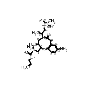 C=CCOC(=O)N(C)CC1Oc2ccc(N)cc2CC(=O)N(C(C)CO[Si](C)(C(C)C)C(C)C)CC1C